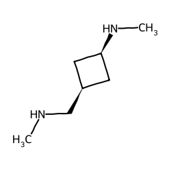 CNC[C@H]1C[C@@H](NC)C1